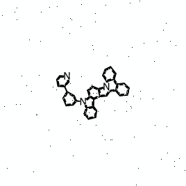 c1cncc(-c2cccc(-n3c4ccccc4c4c5cc6c7ccccc7c7ccccc7n6c5ccc43)c2)c1